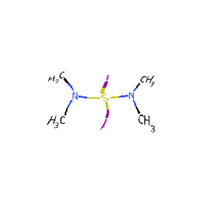 CN(C)S(I)(I)N(C)C